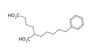 O=C(O)CCCC(CCCCCc1ccccc1)C(=O)O